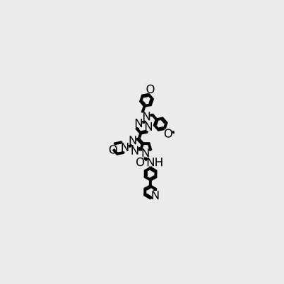 COc1ccc(CN(Cc2ccc(OC)cc2)c2ncc(-c3nc(N4CCOCC4)nc4c3CCN4C(=O)Nc3ccc(-c4cccnc4)cc3)cn2)cc1